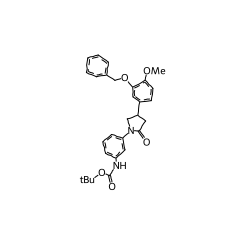 COc1ccc(C2CC(=O)N(c3cccc(NC(=O)OC(C)(C)C)c3)C2)cc1OCc1ccccc1